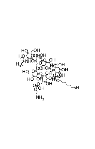 CC(=O)N[C@H]1C(O)[C@@H](O)C(CO)O[C@H]1O[C@@H]1C(CO[C@H]2OC(CO)[C@@H](O)C(O)[C@H]2O[C@H]2OC(COP(=O)(O)OCCN)[C@@H](O)C(O)[C@H]2O)O[C@H](O[C@@H]2C(CO)O[C@H](O[C@@H]3C(O)C(O)[C@@H](O)[C@H](O)C3OP(=O)(O)OCCCCCCS)C(N)[C@H]2O)[C@H](O)C1O